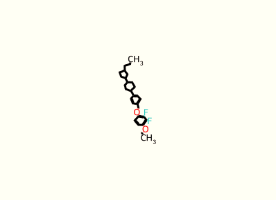 CCCC1CCC(C2CCC(c3ccc(COc4ccc(OCC)c(F)c4F)cc3)CC2)C1